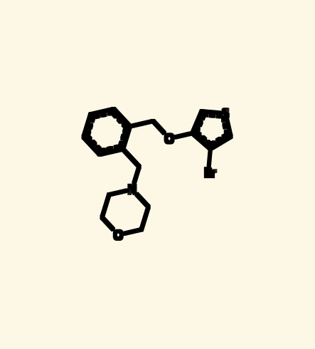 Brc1cscc1OCc1ccccc1CN1CCOCC1